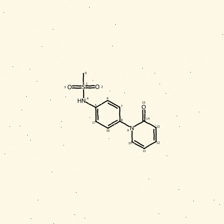 CS(=O)(=O)Nc1ccc(-n2ccccc2=O)cc1